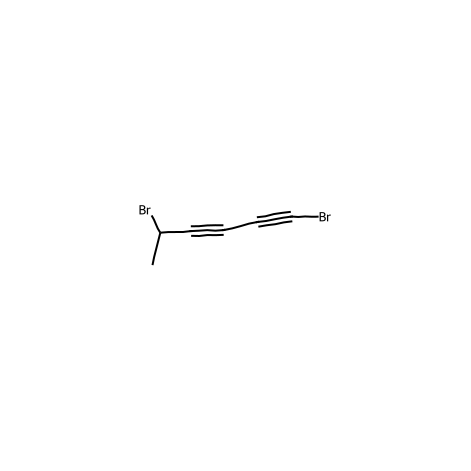 CC(Br)C#CC#CBr